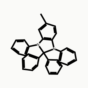 Cc1ccc2c(c1)N(c1ccccc1)C(c1ccccc1)(c1ccccc1)N2c1ccccc1